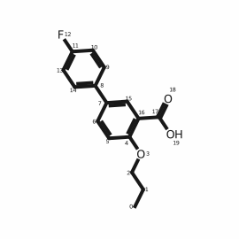 CCCOc1ccc(-c2ccc(F)cc2)cc1C(=O)O